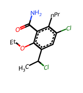 CCCc1c(Cl)cc(C(C)Cl)c(OCC)c1C(N)=O